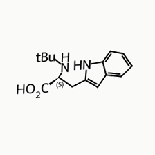 CC(C)(C)N[C@@H](Cc1cc2ccccc2[nH]1)C(=O)O